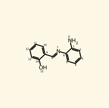 Nc1ccccc1N=Cc1ccccc1O